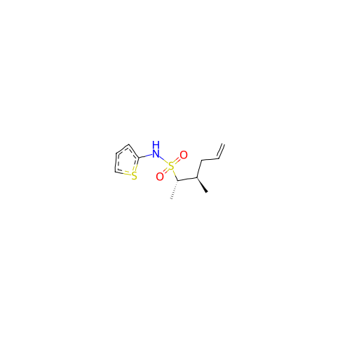 C=CC[C@@H](C)[C@H](C)S(=O)(=O)Nc1cccs1